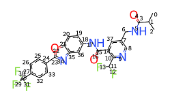 CC(C)C(=O)NCc1cnc(C(F)F)c(C(=O)Nc2ccc3oc(-c4ccc(C(F)(F)F)cc4)nc3c2)c1